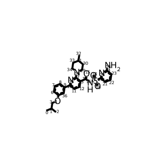 CC(C)COc1cccc(-c2ccc(C(=O)NS(=O)(=O)c3cccc(N)n3)c(N3CCC(C)CC3)n2)c1